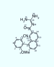 COc1cccc(C#N)c1-c1cccc2ccc(C(=O)N=C(N)N)cc12